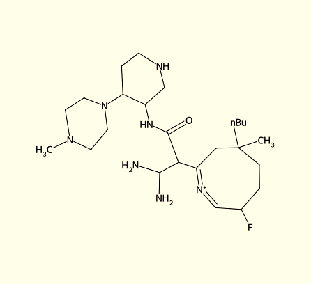 CCCCC1(C)CCC(F)C=[N+]=C(C(C(=O)NC2CNCCC2N2CCN(C)CC2)C(N)N)C1